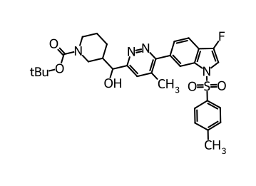 Cc1ccc(S(=O)(=O)n2cc(F)c3ccc(-c4nnc(C(O)C5CCCN(C(=O)OC(C)(C)C)C5)cc4C)cc32)cc1